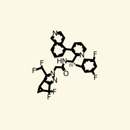 O=C(Cn1nc2c(c1C(F)F)C1CC1C2(F)F)N[C@@H](Cc1cc(F)cc(F)c1)c1ncccc1-c1cccc2cnccc12